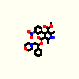 COC(=O)C1=C(C)NC(C)=C(C(=O)OC(CN2CCOCC2)c2ccccc2)C1c1cccc([N+](=O)[O-])c1